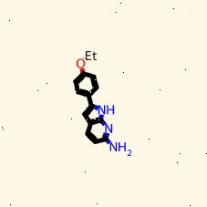 CCOc1ccc(-c2cc3ccc(N)nc3[nH]2)cc1